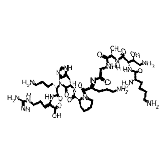 C[C@H](NC(=O)[C@@H](NC(=O)[C@@H](N)CCCCN)[C@@H](O)CN)C(=O)NCC(=O)/N=C(\CCCN)C(=O)N1CCCC[C@H]1C(=O)N[C@@H](Cc1cnc[nH]1)C(=O)N[C@@H](CCCCN)C(=O)N/C(=C\CCNC(=N)N)C(=O)O